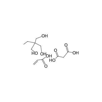 C=CC(=O)O.CCC(CO)(CO)CO.O=C(O)CC(=O)O